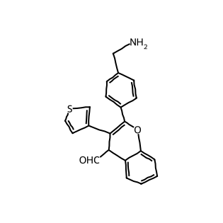 NCc1ccc(C2=C(c3ccsc3)C(C=O)c3ccccc3O2)cc1